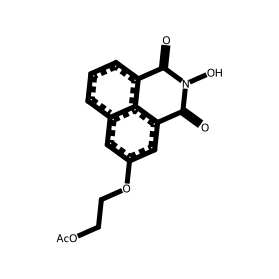 CC(=O)OCCOc1cc2c3c(cccc3c1)C(=O)N(O)C2=O